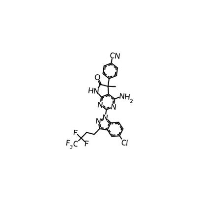 CC1(c2ccc(C#N)cc2)C(=O)Nc2nc(-n3nc(CCC(F)(F)C(F)(F)F)c4cc(Cl)ccc43)nc(N)c21